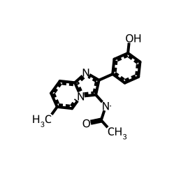 CC(=O)[N]c1c(-c2cccc(O)c2)nc2ccc(C)cn12